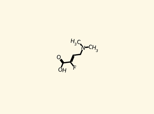 CN(C)CC=C(F)C(=O)O